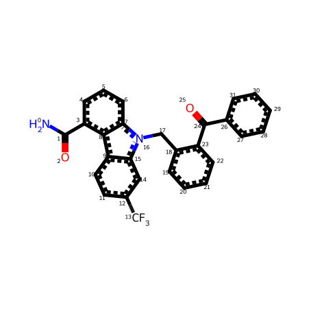 NC(=O)c1cccc2c1c1[c]cc(C(F)(F)F)cc1n2Cc1ccccc1C(=O)c1ccccc1